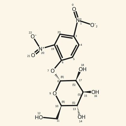 O=[N+]([O-])c1ccc(O[C@H]2O[C@H](CO)[C@@H](O)[C@H](O)[C@@H]2O)c([N+](=O)[O-])c1